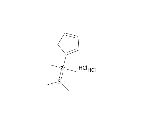 C[Si](C)=[Zr]([CH3])([CH3])[C]1=CC=CC1.Cl.Cl